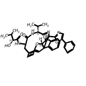 CC(C)[C@H](O)C(=O)NC1Cc2ccc3c(c2)C2(c4ccccc4N[C@H]2O3)c2oc(nc2-c2ncc(-c3ccccc3)o2)[C@H](C(C)C)NC1=O